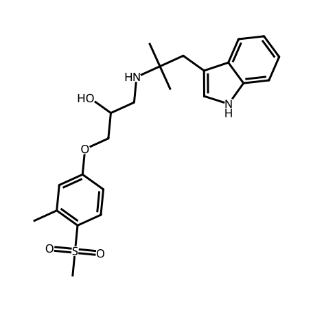 Cc1cc(OCC(O)CNC(C)(C)Cc2c[nH]c3ccccc23)ccc1S(C)(=O)=O